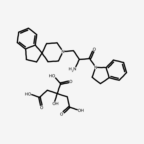 NC(CN1CCC2(CCc3ccccc32)CC1)C(=O)N1CCc2ccccc21.O=C(O)CC(O)(CC(=O)O)C(=O)O